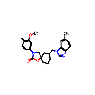 CCOc1cc(N2C[C@@]3(CCC[C@H](Cn4cnc5ccc(C#N)cc54)C3)OC2=O)ccc1C